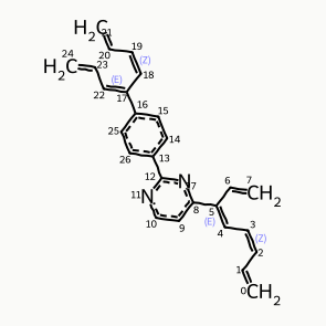 C=C/C=C\C=C(/C=C)c1ccnc(-c2ccc(C(/C=C\C=C)=C/C=C)cc2)n1